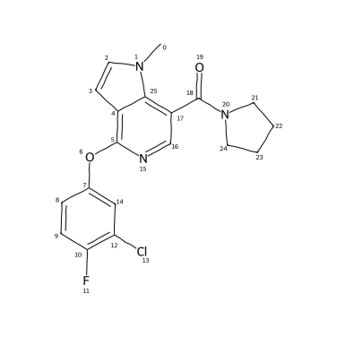 Cn1ccc2c(Oc3ccc(F)c(Cl)c3)ncc(C(=O)N3CCCC3)c21